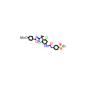 CCS(=O)(=O)c1ccc(CC(=O)Nc2cc(Cl)c(C3(c4noc(-c5ccc(OC)cc5)n4)CC3)c(Cl)c2)cc1